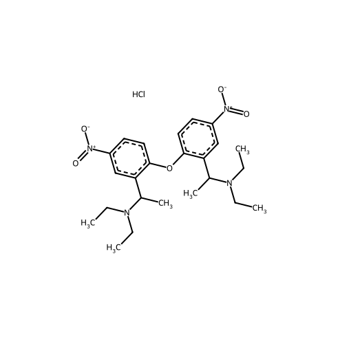 CCN(CC)C(C)c1cc([N+](=O)[O-])ccc1Oc1ccc([N+](=O)[O-])cc1C(C)N(CC)CC.Cl